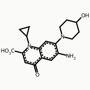 Nc1cc2c(=O)cc(C(=O)O)n(C3CC3)c2cc1N1CCC(O)CC1